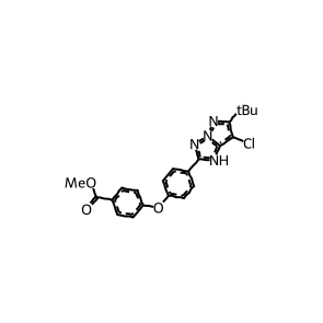 COC(=O)c1ccc(Oc2ccc(-c3nn4nc(C(C)(C)C)c(Cl)c4[nH]3)cc2)cc1